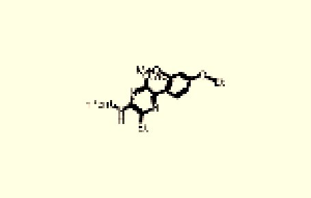 CCCCCNc1nc(OC)c(-c2ccc(OCC)cc2OC)nc1CC